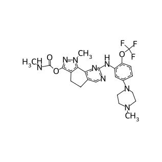 CNC(=O)Oc1nn(C)c2c1CCc1cnc(Nc3cc(N4CCN(C)CC4)ccc3OC(F)(F)F)nc1-2